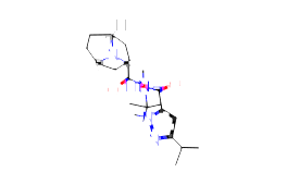 CC(C)c1cc(C(=O)NC[C@@H]2C[C@H]3CC[C@@H](C2)N3CC(=O)NC(C)(C)C)n(C)n1